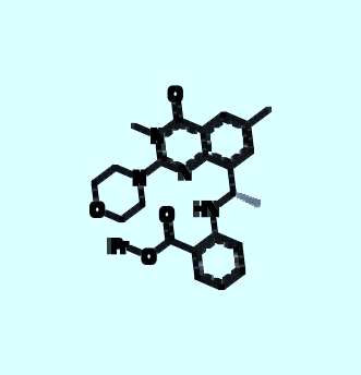 Cc1cc([C@H](C)Nc2ccccc2C(=O)OC(C)C)c2nc(N3CCOCC3)n(C)c(=O)c2c1